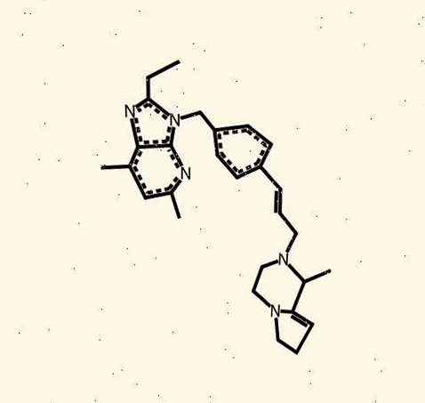 CCc1nc2c(C)cc(C)nc2n1Cc1ccc(C=CCN2CCN3CCC=C3C2C)cc1